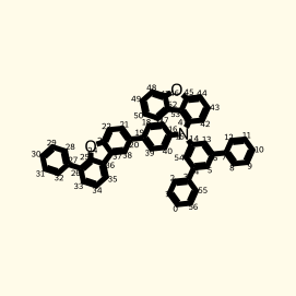 c1ccc(-c2cc(-c3ccccc3)cc(N(c3ccc(-c4ccc5oc6c(-c7ccccc7)cccc6c5c4)cc3)c3cccc4oc5ccccc5c34)c2)cc1